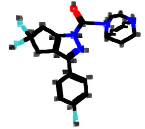 O=C(N1CCN2CCC1CC2)n1nc(-c2ccc(F)cc2)c2c1CC(F)(F)C2